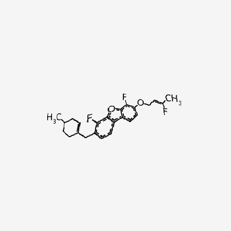 C/C(F)=C/COc1ccc2c(oc3c(F)c(CC4=CCC(C)CC4)ccc32)c1F